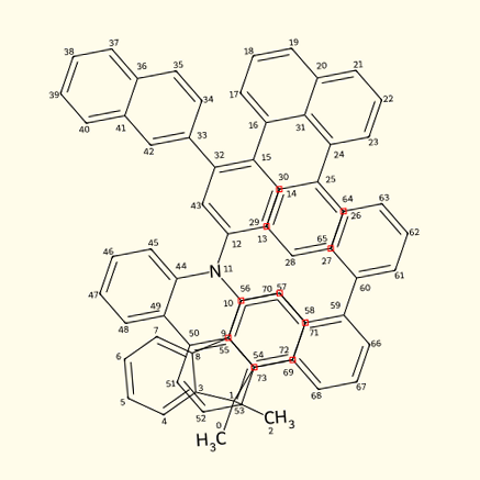 CC1(C)c2ccccc2-c2c(N(c3ccc(-c4cccc5cccc(-c6ccccc6)c45)c(-c4ccc5ccccc5c4)c3)c3ccccc3-c3cccc4c3ccc3c(-c5ccccc5)cccc34)cccc21